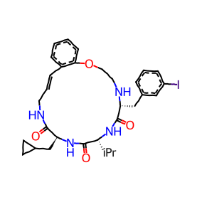 CC(C)[C@H]1NC(=O)[C@@H](Cc2cccc(I)c2)NCCOc2ccccc2/C=C/CNC(=O)[C@H](CC2CC2)NC1=O